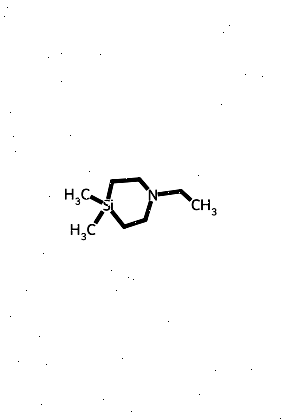 CCN1CC[Si](C)(C)CC1